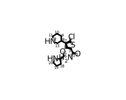 NC(=O)c1sc(Cl)c(C2CCCNC2)c1OCC1CCCN1